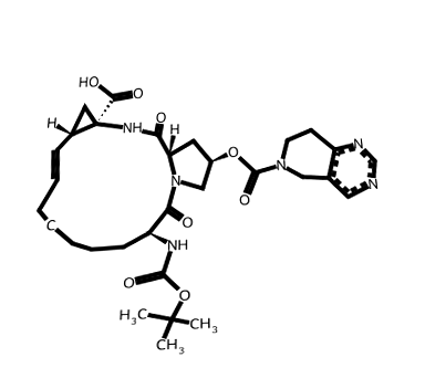 CC(C)(C)OC(=O)N[C@H]1CCCCC/C=C/[C@@H]2C[C@@]2(C(=O)O)NC(=O)[C@@H]2C[C@@H](OC(=O)N3CCc4ncncc4C3)CN2C1=O